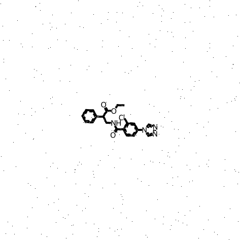 CCOC(=O)C(CNC(=O)c1ccc(-n2cnnc2)cc1Cl)c1ccccc1